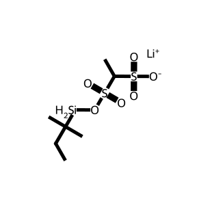 CCC(C)(C)[SiH2]OS(=O)(=O)C(C)S(=O)(=O)[O-].[Li+]